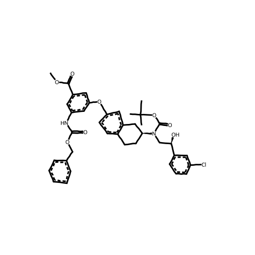 COC(=O)c1cc(NC(=O)OCc2ccccc2)cc(Oc2ccc3c(c2)C[C@@H](N(C[C@@H](O)c2cccc(Cl)c2)C(=O)OC(C)(C)C)CC3)c1